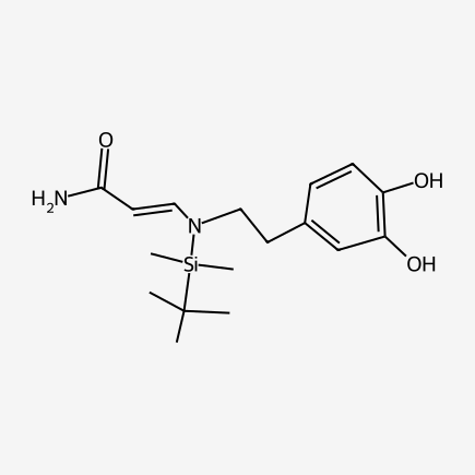 CC(C)(C)[Si](C)(C)N(C=CC(N)=O)CCc1ccc(O)c(O)c1